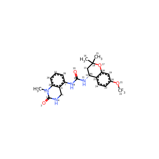 CN1C(=O)NCc2c(NC(=O)N[C@@H]3CC(C)(C)Oc4cc(OC(F)(F)F)ccc43)cccc21